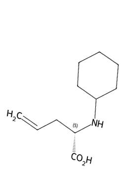 C=CC[C@H](NC1CCCCC1)C(=O)O